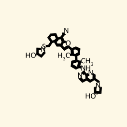 Cc1c(Nc2nccc3cc(CN4CC[C@@H](O)C4)cnc23)cccc1-c1cccc(-c2cc3cc4c(c(C#N)c3o2)CCCC4CSN2CC[C@@H](O)C2)c1C